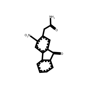 NC(=O)Cc1cc2c(cc1[N+](=O)[O-])-c1ccccc1C2=O